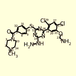 CN1CCN(C(=O)c2ccc(Sc3nc(NN)nc(-c4cc(OCN)c(Cl)cc4Cl)n3)cc2)CC1